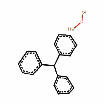 SOS.c1ccc(C(c2ccccc2)c2ccccc2)cc1